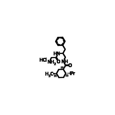 CC(C)[C@@H]1CC[C@@H](C)C[C@H]1C(=O)NCC(Cc1ccccc1)NC(=O)CN.Cl